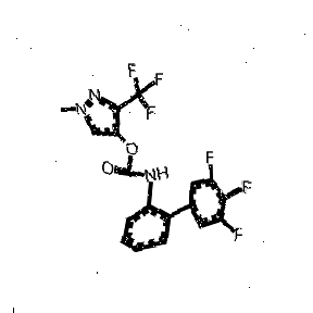 Cn1cc(OC(=O)Nc2ccccc2-c2cc(F)c(F)c(F)c2)c(C(F)(F)F)n1